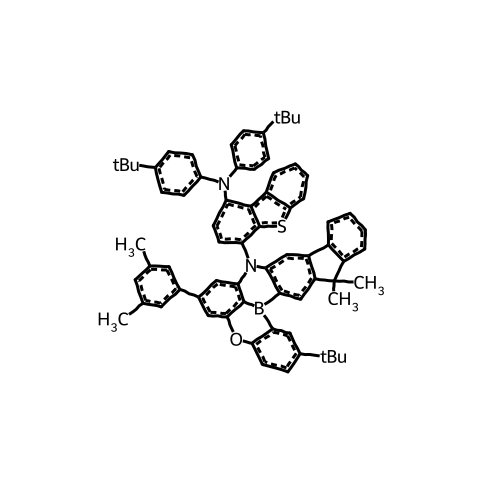 Cc1cc(C)cc(-c2cc3c4c(c2)N(c2ccc(N(c5ccc(C(C)(C)C)cc5)c5ccc(C(C)(C)C)cc5)c5c2sc2ccccc25)c2cc5c(cc2B4c2cc(C(C)(C)C)ccc2O3)C(C)(C)c2ccccc2-5)c1